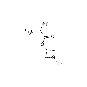 CC(C)C(C)C(=O)OC1CN(C(C)C)C1